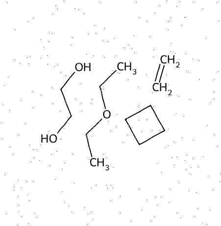 C1CCC1.C=C.CCOCC.OCCO